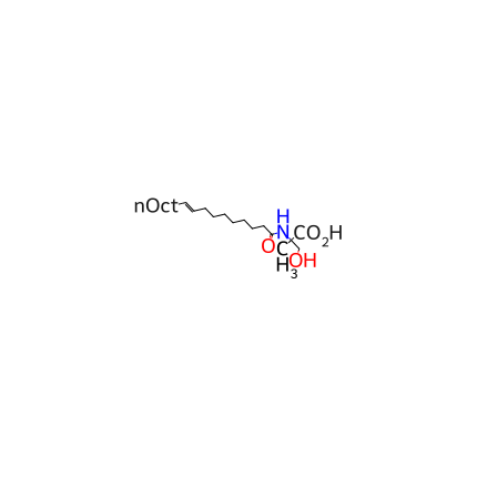 CCCCCCCCC=CCCCCCCCC(=O)NC(C)(CO)C(=O)O